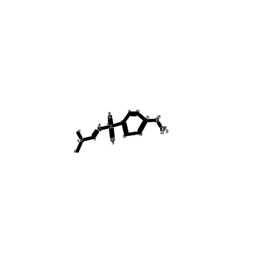 CN(C)C=NS(=O)(=O)c1ccc(OC(F)(F)F)cc1